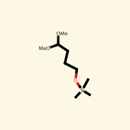 COC(CCCO[Si](C)(C)C)OC